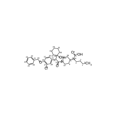 CCCCN(C(=O)O)C1CCN(C(=O)C(c2ccc(OCc3ccccc3)c(Cl)c2)C2(O)CCCCC2)CC1